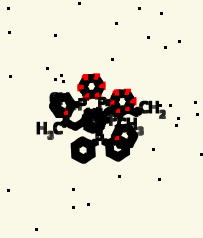 C=CCC(C)C[C]12[CH]3[CH]4[CH]5[CH]1[Fe]45321678[C]2(CC(C)CC=C)[C]1(P(c1ccccc1)c1ccccc1)[C]6(P(c1ccccc1)c1ccccc1)[C]7(P(c1ccccc1)c1ccccc1)[C]28P(c1ccccc1)c1ccccc1